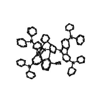 N#Cc1ccccc1-c1cc(-n2c3ccc(N(c4ccccc4)c4ccccc4)cc3c3cc(N(c4ccccc4)c4ccccc4)ccc32)cc(-c2ccccc2C#N)c1-n1c2ccc(N(c3ccccc3)c3ccccc3)cc2c2cc(N(c3ccccc3)c3ccccc3)ccc21